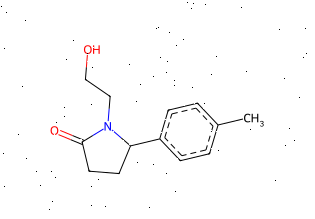 Cc1ccc(C2CCC(=O)N2CCO)cc1